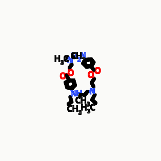 CCCCN(CCCC)CCCOC(=O)c1ccc(N)cc1.CCCCNc1ccc(C(=O)OCCN(C)C)cc1